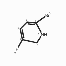 FC1=[C]C=C(Br)NC1